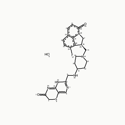 Cl.O=C1CSC2=CN=C(CNC3CCN(C[C@@H]4Cn5c(=O)ccc6ccc(F)c4c65)CC3)NC2=N1